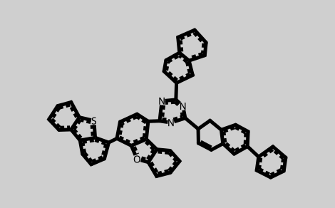 C1=CC(c2nc(-c3ccc4ccccc4c3)nc(-c3ccc(-c4cccc5c4sc4ccccc45)c4oc5ccccc5c34)n2)Cc2ccc(-c3ccccc3)cc21